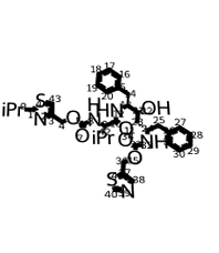 CC(C)c1nc(COC(=O)N[C@H](C(=O)N[C@@H](Cc2ccccc2)[C@@H](O)C[C@H](Cc2ccccc2)NC(=O)OCc2cncs2)C(C)C)cs1